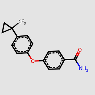 NC(=O)c1ccc(Oc2ccc(C3(C(F)(F)F)CC3)cc2)cc1